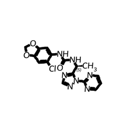 C[C@H](NC(=O)Nc1cc2c(cc1Cl)OCO2)c1ncnn1-c1ncccn1